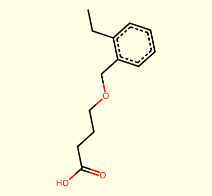 CCc1ccccc1COCCCC(=O)O